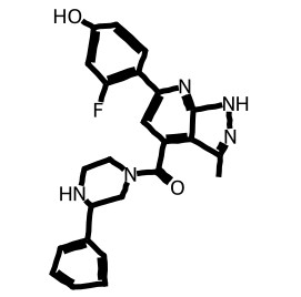 Cc1n[nH]c2nc(-c3ccc(O)cc3F)cc(C(=O)N3CCNC(c4ccccc4)C3)c12